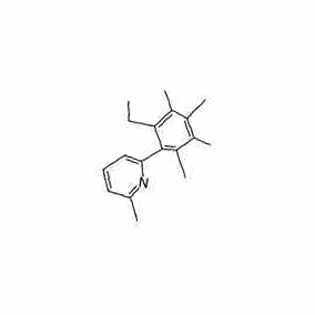 CCc1c(C)c(C)c(C)c(C)c1-c1cccc(C)n1